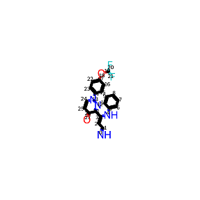 N=C/C=C(\Nc1ccccc1)c1nn(-c2ccc(OC(F)F)cc2)ccc1=O